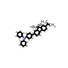 C=C(C)c1ccc2c(c1)C(CCCC)(CCCC)c1cc(-c3ccc(N(c4ccccc4)c4ccccc4)cc3)ccc1-2